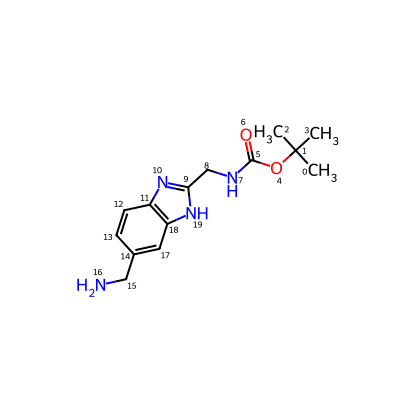 CC(C)(C)OC(=O)NCc1nc2ccc(CN)cc2[nH]1